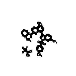 Cc1ccc(S(=O)(=O)n2cc(-c3cnc(C)c4cnc(N[C@@H]5CCCC[C@@H]5N)nc34)c3ccc(C(F)(F)F)cc32)cc1.O=C(O)C(F)(F)F